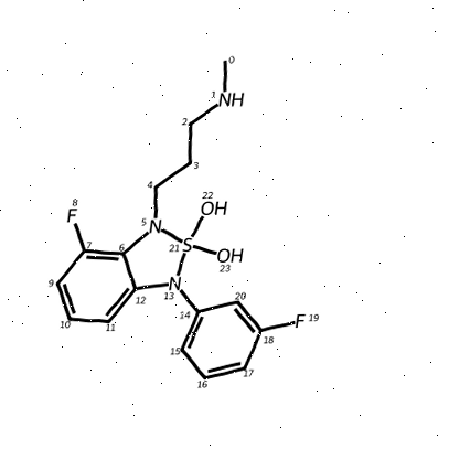 CNCCCN1c2c(F)cccc2N(c2cccc(F)c2)S1(O)O